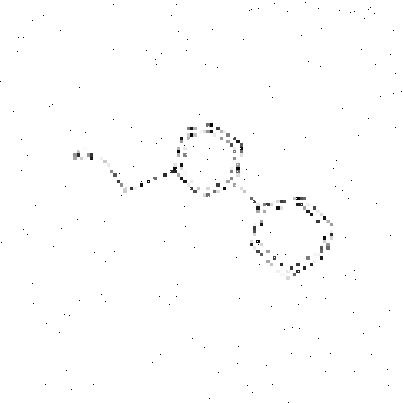 CCCCCCCCCc1cc[c]c(-c2ccccc2)c1